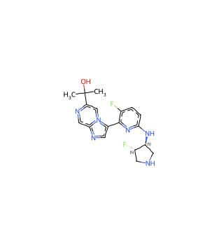 CC(C)(O)c1cn2c(-c3nc(N[C@H]4CNC[C@@H]4F)ccc3F)cnc2cn1